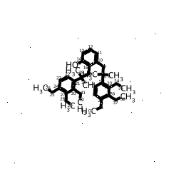 CCc1ccc(C(C)(C)Cc2cccc(O)c2CC(C)(C)c2ccc(CC)c(CC)c2CC)c(CC)c1CC